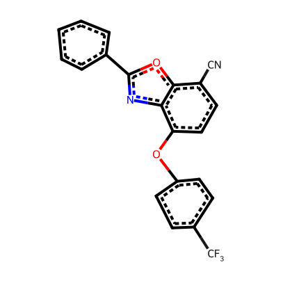 N#Cc1ccc(Oc2ccc(C(F)(F)F)cc2)c2nc(-c3ccccc3)oc12